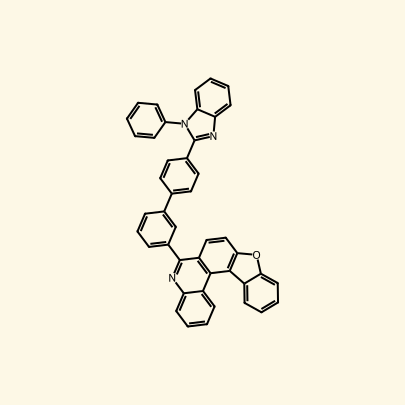 c1ccc(-n2c(-c3ccc(-c4cccc(-c5nc6ccccc6c6c5ccc5oc7ccccc7c56)c4)cc3)nc3ccccc32)cc1